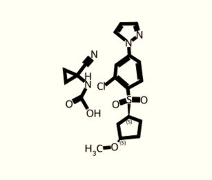 CO[C@H]1CC[C@H](S(=O)(=O)c2ccc(-n3cccn3)cc2Cl)C1.N#CC1(NC(=O)O)CC1